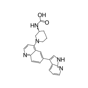 O=C(O)N[C@H]1CCCN(c2ccnc3ccc(-c4c[nH]c5ncccc45)cc23)C1